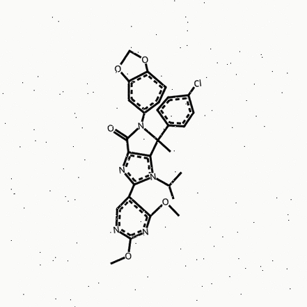 COc1ncc(-c2nc3c(n2C(C)C)C(C)(c2ccc(Cl)cc2)N(c2ccc4c(c2)OCO4)C3=O)c(OC)n1